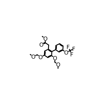 COCOc1cc(CC(=O)OC)c(-c2cccc(OC(F)(F)F)c2)c(OCOC)c1